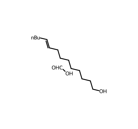 CCCCC=CCCCCCCCCO.O=CO